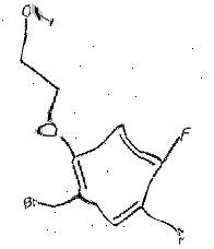 OCCOc1cc(F)c(F)cc1Br